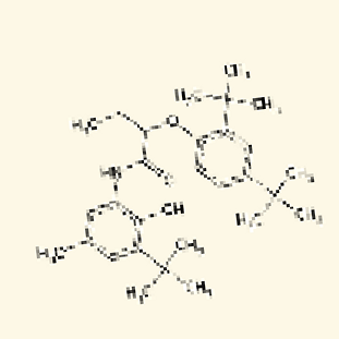 CCC(Oc1ccc(C(C)(C)C)cc1C(C)(C)C)C(=O)Nc1cc(C)cc(C(C)(C)C)c1O